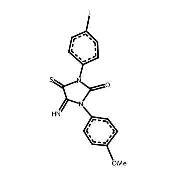 COc1ccc(N2C(=N)C(=S)N(c3ccc(I)cc3)C2=O)cc1